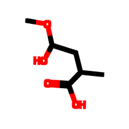 COC(O)CC(C)C(=O)O